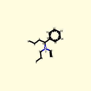 C=CN(CCC)C(CCC)c1ccccc1